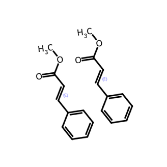 COC(=O)/C=C/c1ccccc1.COC(=O)/C=C/c1ccccc1